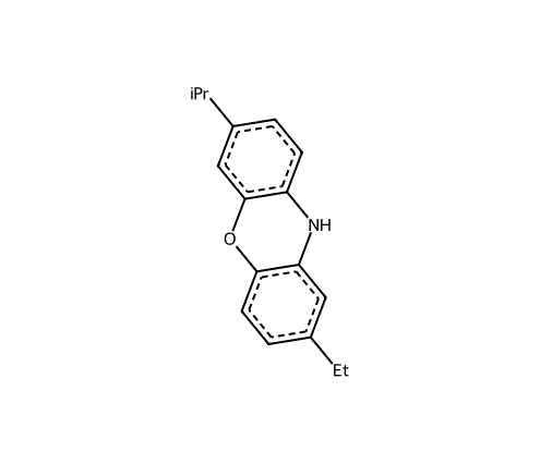 CCc1ccc2c(c1)Nc1ccc(C(C)C)cc1O2